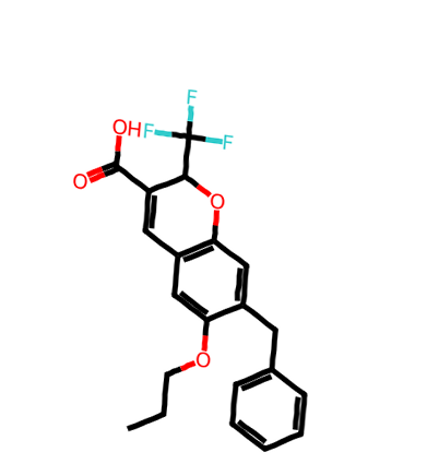 CCCOc1cc2c(cc1Cc1ccccc1)OC(C(F)(F)F)C(C(=O)O)=C2